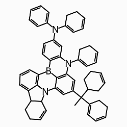 CC(C1=CC=CCC1)(c1cc2c3c(c1)N1c4c(cccc4C4CCC=CC41)B3c1ccc(N(C3=CC=CCC3)c3ccccc3)cc1N2C1=CC=CCC1)C1CC=CCC1